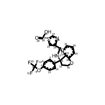 O=C(N[C@]1(c2ccc(OC(F)(F)F)cc2)CCOc2cccnc21)c1cscn1.O=CO